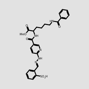 COC(=O)C(CCCCNC(=O)c1ccccc1)NC(=O)c1ccc(NN=Cc2ccccc2S(=O)(=O)O)nc1